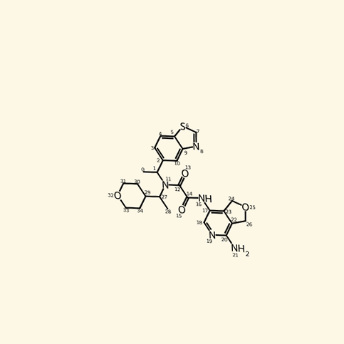 CC(c1ccc2scnc2c1)N(C(=O)C(=O)Nc1cnc(N)c2c1COC2)C(C)C1CCOCC1